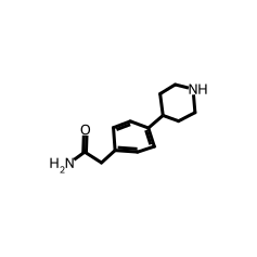 NC(=O)Cc1ccc(C2CCNCC2)cc1